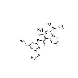 CCN(C)C(=O)c1ccccc1N(C(=O)Nc1nc(OC)cc(OC)n1)S(N)(=O)=O